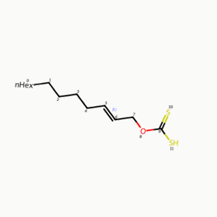 CCCCCCCCCC/C=C/COC(=S)S